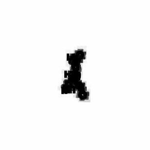 Cc1cc(CC(NC(=O)N2CCC(N3Cc4ccccc4NC3=O)CC2)C(=O)OC2CCN(Cc3ccccc3)CC2)cc2cn[nH]c12